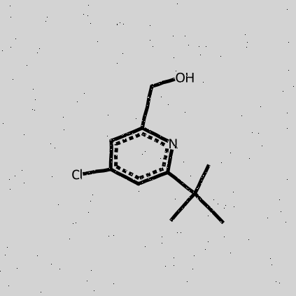 CC(C)(C)c1cc(Cl)cc(CO)n1